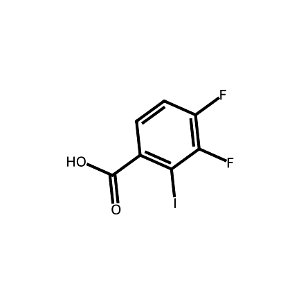 O=C(O)c1ccc(F)c(F)c1I